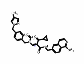 C=CN(/C=C(\C(=C)C1CC1)C(=O)NCc1ccc2c(N)nccc2c1)Cc1ccc(Cn2cc(C)cn2)cc1